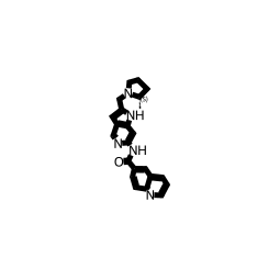 C[C@H]1CCCN1Cc1cc2cnc(NC(=O)c3ccc4ncccc4c3)cc2[nH]1